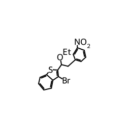 CCOC(Cc1cccc([N+](=O)[O-])c1)c1sc2ccccc2c1Br